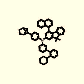 CC1(C)c2ccccc2-c2c(-c3cccc4ccccc34)cc(N(c3ccc(C4CC5CCC4C5)cc3)c3cccc(-c4ccccc4C4CCCCC4)c3)cc21